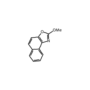 COc1nc2c(ccc3ccccc32)o1